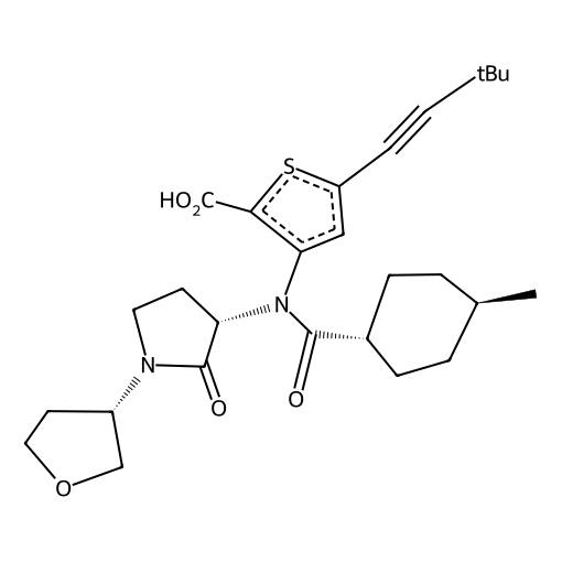 CC(C)(C)C#Cc1cc(N(C(=O)[C@H]2CC[C@H](C)CC2)[C@H]2CCN([C@H]3CCOC3)C2=O)c(C(=O)O)s1